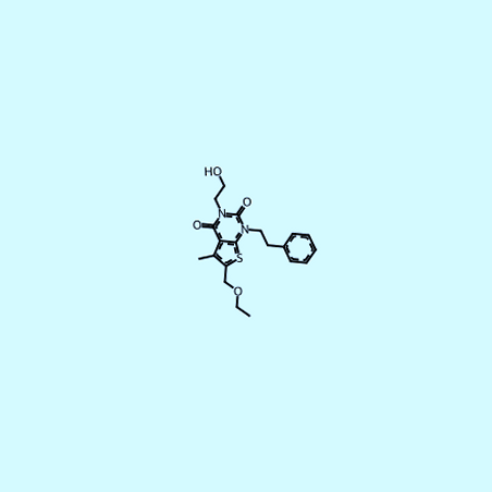 CCOCc1sc2c(c1C)c(=O)n(CCO)c(=O)n2CCc1ccccc1